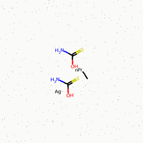 CCCC.NC(O)=S.NC(O)=S.[Ag]